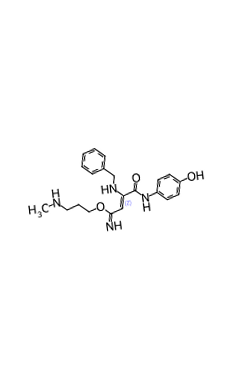 CNCCCOC(=N)/C=C(\NCc1ccccc1)C(=O)Nc1ccc(O)cc1